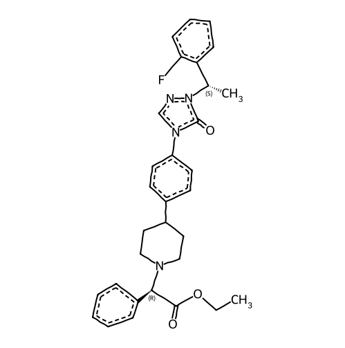 CCOC(=O)[C@@H](c1ccccc1)N1CCC(c2ccc(-n3cnn([C@@H](C)c4ccccc4F)c3=O)cc2)CC1